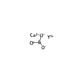 [Ca+2].[O-]B([O-])[O-].[Y+3]